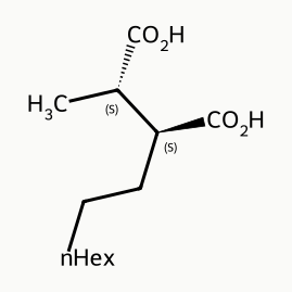 CCCCCCCC[C@H](C(=O)O)[C@H](C)C(=O)O